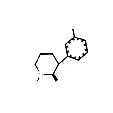 CN1CCC[C@@](O)(c2cccc(Br)c2)C1=O